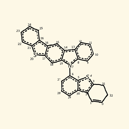 C1=Cc2c(sc3c(-n4c5ccccc5c5cc6c(cc54)sc4ccccc46)cccc23)CC1